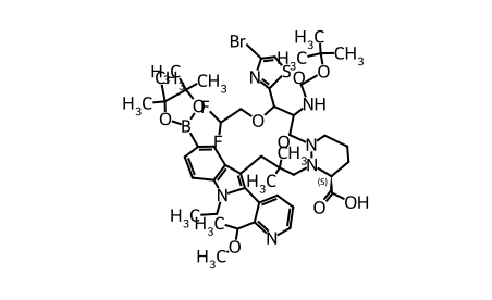 CCn1c(-c2cccnc2C(C)OC)c(CC(C)(C)CN2[C@H](C(=O)O)CCCN2C(=O)C(NC(=O)OC(C)(C)C)C(OCC(F)F)c2nc(Br)cs2)c2cc(B3OC(C)(C)C(C)(C)O3)ccc21